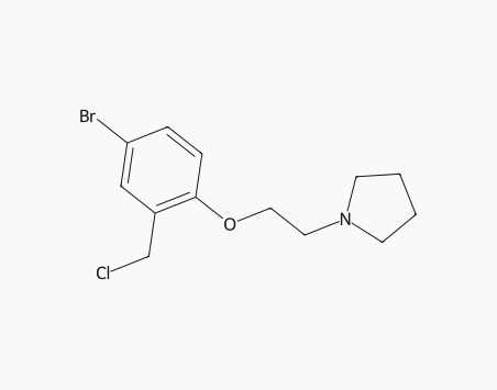 ClCc1cc(Br)ccc1OCCN1CCCC1